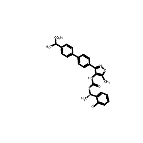 Cc1onc(-c2ccc(-c3ccc(C(C)C(=O)O)cc3)cc2)c1NC(=O)O[C@H](C)c1ccccc1Cl